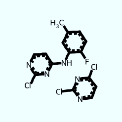 Cc1ccc(F)c(Nc2ccnc(Cl)n2)c1.Clc1ccnc(Cl)n1